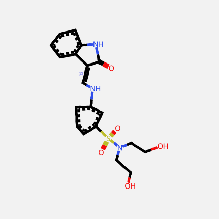 O=C1Nc2ccccc2/C1=C/Nc1cccc(S(=O)(=O)N(CCO)CCO)c1